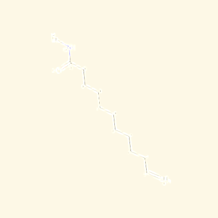 C=CCCCCCCCCCC(=O)NCC